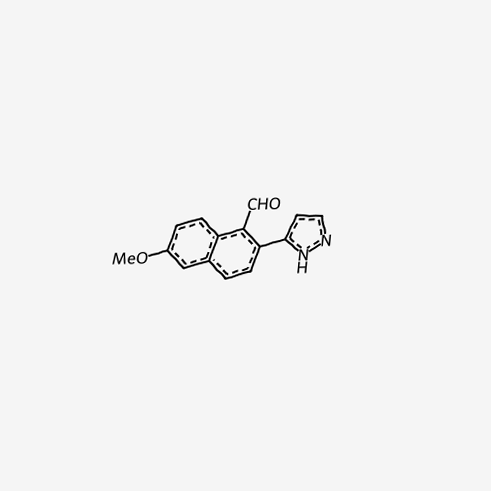 COc1ccc2c(C=O)c(-c3ccn[nH]3)ccc2c1